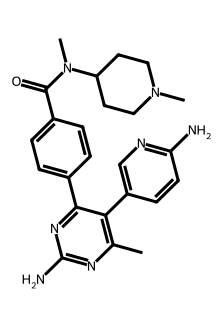 Cc1nc(N)nc(-c2ccc(C(=O)N(C)C3CCN(C)CC3)cc2)c1-c1ccc(N)nc1